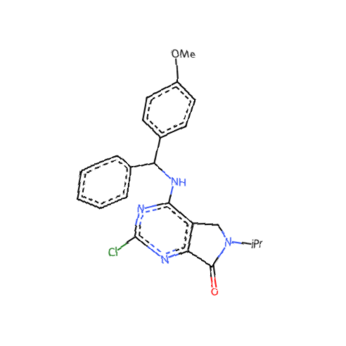 COc1ccc(C(Nc2nc(Cl)nc3c2CN(C(C)C)C3=O)c2ccccc2)cc1